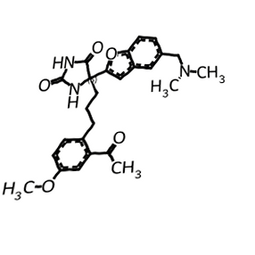 COc1ccc(CCC[C@@]2(c3cc4cc(CN(C)C)ccc4o3)NC(=O)NC2=O)c(C(C)=O)c1